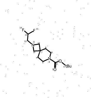 CC(C)(C)OC(=O)N1CCC2(CC1)CN(CC(F)F)C2